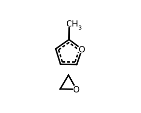 C1CO1.Cc1ccco1